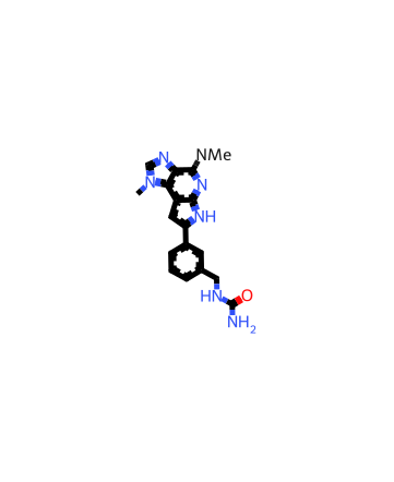 CNc1nc2[nH]c(-c3cccc(CNC(N)=O)c3)cc2c2c1ncn2C